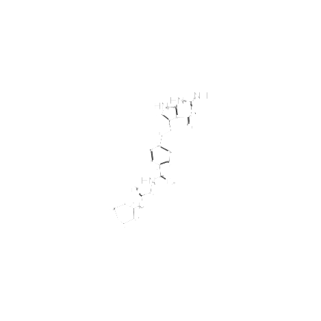 Nc1nc(=O)c2c(CCc3ccc(C(=O)NCC(=O)OC4CCCCC4)cc3)c[nH]c2[nH]1